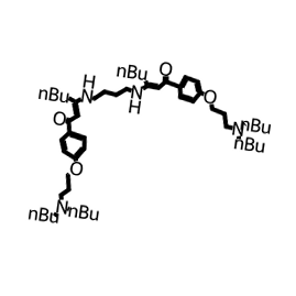 CCCC/C(=C\C(=O)c1ccc(OCCCN(CCCC)CCCC)cc1)NCCCCN/C(=C/C(=O)c1ccc(OCCCN(CCCC)CCCC)cc1)CCCC